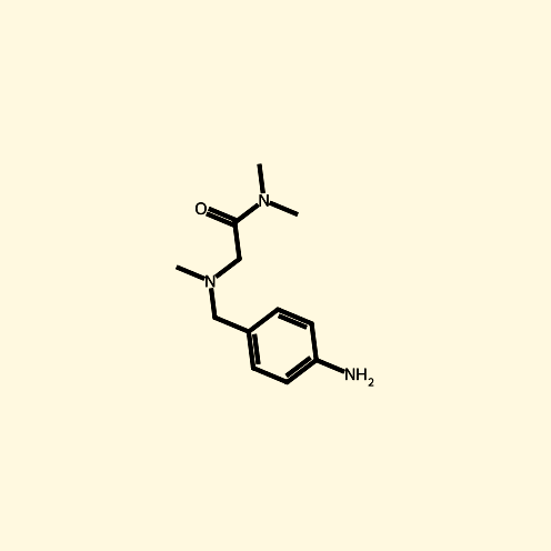 CN(CC(=O)N(C)C)Cc1ccc(N)cc1